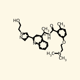 Cc1ccc(OCCN(C)C)cc1C(=O)N[C@H](C)c1cc(-c2cnn(CCO)c2)nc2ccccc12